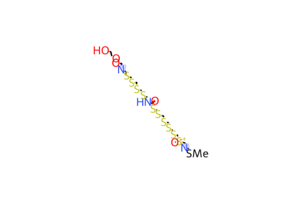 CSC/N=C/[S+]([O-])CSCSCSCSCSC(=O)NCSCSCSCSC/N=C/OOCCO